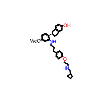 COc1ccc([C@@H]2CCc3cc(O)ccc3C2)c(NCCCc2ccc(OCCNCC3CCC3)cc2)c1